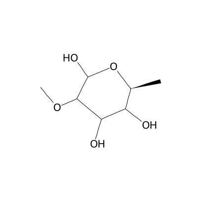 COC1C(O)O[C@@H](C)C(O)C1O